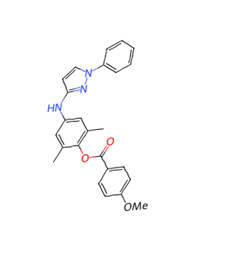 COc1ccc(C(=O)Oc2c(C)cc(Nc3ccn(-c4ccccc4)n3)cc2C)cc1